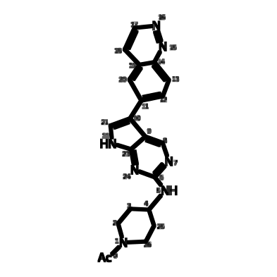 CC(=O)N1CCC(Nc2ncc3c(-c4ccc5nnccc5c4)c[nH]c3n2)CC1